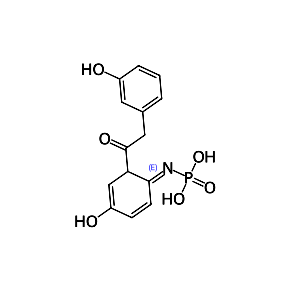 O=C(Cc1cccc(O)c1)C1C=C(O)C=C/C1=N\P(=O)(O)O